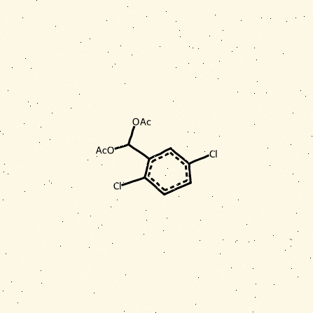 CC(=O)OC(OC(C)=O)c1cc(Cl)ccc1Cl